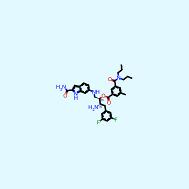 CCCN(CCC)C(=O)c1cc(C)cc(C(=O)O[C@H](CNc2ccc3cc(C(N)=O)[nH]c3c2)[C@@H](N)Cc2cc(F)cc(F)c2)c1